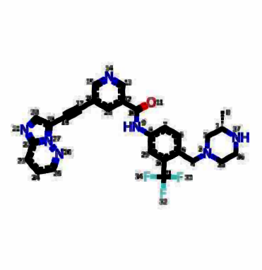 C[C@H]1CN(Cc2ccc(NC(=O)c3cncc(C#Cc4cnc5cccnn45)c3)cc2C(F)(F)F)CCN1